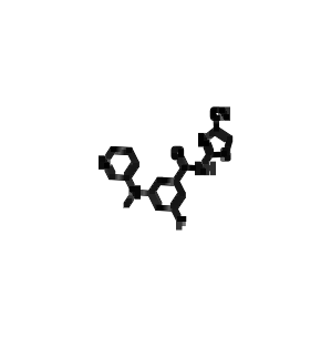 CN(c1cccnc1)c1cc(F)cc(C(=O)Nc2nc(C#N)cs2)c1